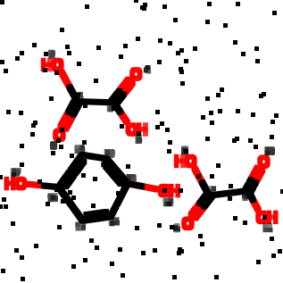 O=C(O)C(=O)O.O=C(O)C(=O)O.Oc1ccc(O)cc1